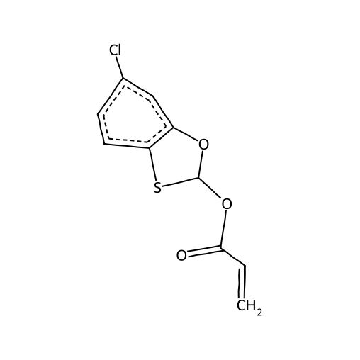 C=CC(=O)OC1Oc2cc(Cl)ccc2S1